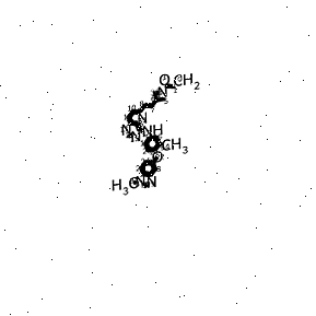 C=CC(=O)N1CC(C=Cc2ccc3ncnc(Nc4ccc(Oc5ccc6c(c5)ncn6C)c(C)c4)c3n2)C1